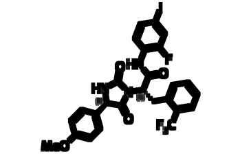 COc1ccc([C@H]2NC(=O)N([C@@H](Cc3ccccc3C(F)(F)F)C(=O)Nc3ccc(I)cc3F)C2=O)cc1